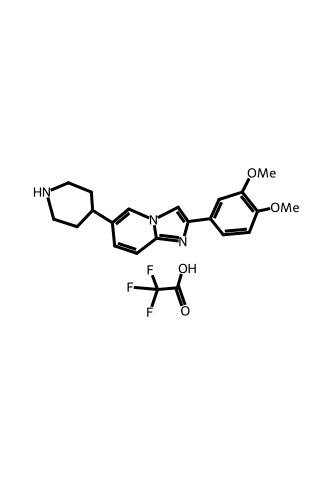 COc1ccc(-c2cn3cc(C4CCNCC4)ccc3n2)cc1OC.O=C(O)C(F)(F)F